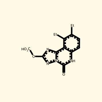 CCc1ccc2[nH]c(=O)n3nc(OC(=O)O)nc3c2c1CC